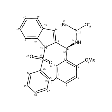 COc1ccc(F)cc1[C@H](N[S+]([O-])C(C)(C)C)c1cc2ccccc2n1S(=O)(=O)c1ccccc1